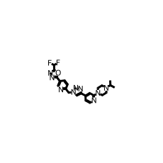 CC(C)N1CCN(c2cc(-c3cn(Cc4ccc(-c5nnc(C(F)F)o5)cn4)nn3)ccn2)CC1